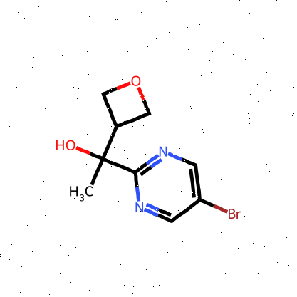 CC(O)(c1ncc(Br)cn1)C1COC1